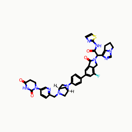 O=C1CCN(c2ccc(CN3C[C@H]4C[C@@H]3CN4c3ccc(-c4cc(F)c5c(c4)C(=O)N(C(C(=O)Nc4nccs4)c4ncn6c4CCC6)C5)cc3)nc2)C(=O)N1